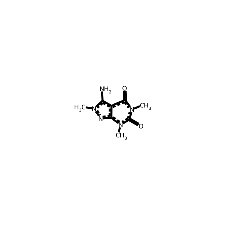 Cn1nc2c(c1N)c(=O)n(C)c(=O)n2C